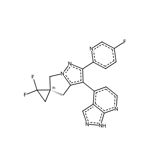 Fc1ccc(-c2nn3c(c2-c2ccnc4[nH]ncc24)C[C@]2(C3)CC2(F)F)nc1